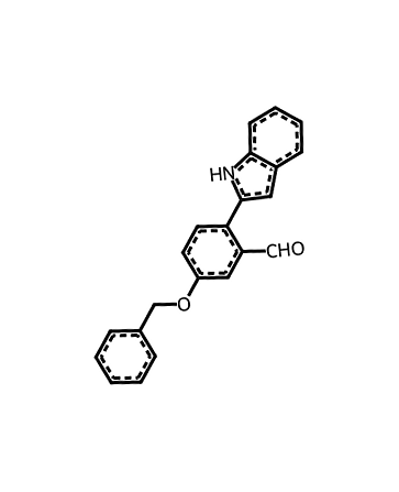 O=Cc1cc(OCc2ccccc2)ccc1-c1cc2ccccc2[nH]1